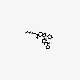 COCCNc1ccn2nc(-c3ccc(F)cc3)c(-c3ccnc(NC4CCCC4)n3)c2c1